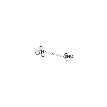 O=NP(=O)(O)CCCCCCCCCCCCN1C(=O)c2ccccc2C1=O